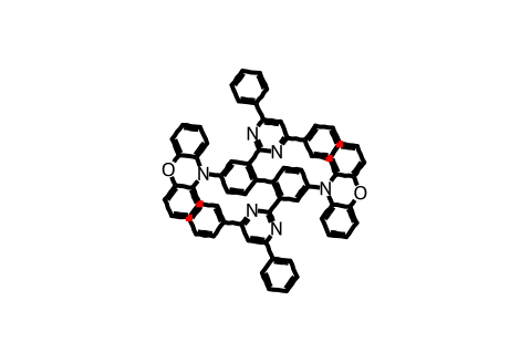 c1ccc(-c2cc(-c3ccccc3)nc(-c3cc(N4c5ccccc5Oc5ccccc54)ccc3-c3ccc(N4c5ccccc5Oc5ccccc54)cc3-c3nc(-c4ccccc4)cc(-c4ccccc4)n3)n2)cc1